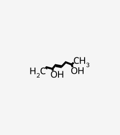 C=CC(O)C=CCC(C)O